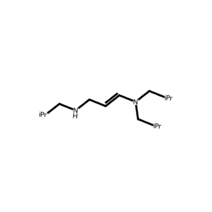 CC(C)CNCC=CN(CC(C)C)CC(C)C